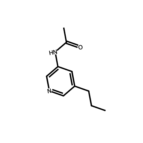 CCCc1cncc(NC(C)=O)c1